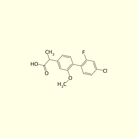 COc1cc(C(C)C(=O)O)ccc1-c1ccc(Cl)cc1F